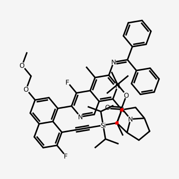 COCOc1cc(-c2ncc3c(N4CC5CCC(C4)N5C(=O)OC(C)(C)C)nc(N=C(c4ccccc4)c4ccccc4)c(C)c3c2F)c2c(C#C[Si](C(C)C)(C(C)C)C(C)C)c(F)ccc2c1